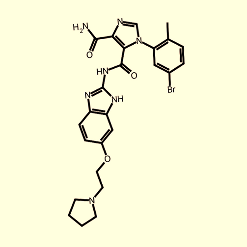 Cc1ccc(Br)cc1-n1cnc(C(N)=O)c1C(=O)Nc1nc2ccc(OCCN3CCCC3)cc2[nH]1